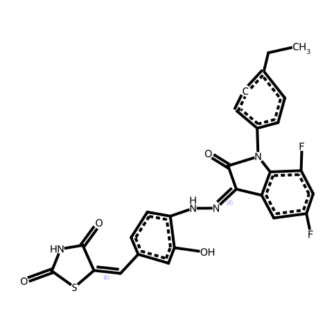 CCc1ccc(N2C(=O)/C(=N\Nc3ccc(/C=C4/SC(=O)NC4=O)cc3O)c3cc(F)cc(F)c32)cc1